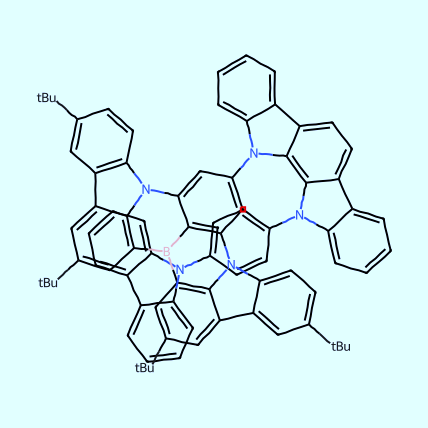 CC(C)(C)c1ccc2c(c1)c1cc(C(C)(C)C)cc3c1n2-c1cc(-n2c4ccccc4c4ccc5c6ccccc6n(-c6ccc(-n7c8ccccc8c8ccccc87)cc6)c5c42)cc2c1B3c1cc(C(C)(C)C)cc3c4cc(C(C)(C)C)ccc4n-2c13